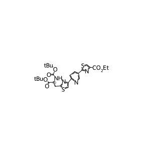 CCOC(=O)c1csc(-c2ccc(-c3csc(C[C@H](NC(=O)OC(C)(C)C)C(=O)OC(C)(C)C)n3)nc2)n1